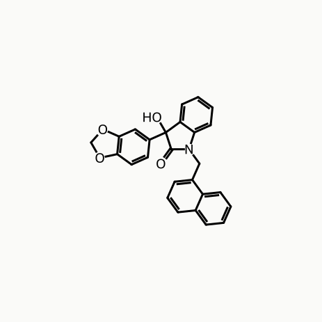 O=C1N(Cc2cccc3ccccc23)c2ccccc2C1(O)c1ccc2c(c1)OCO2